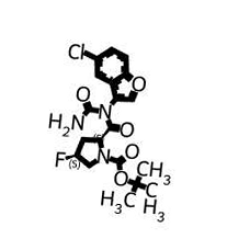 CC(C)(C)OC(=O)N1C[C@@H](F)C[C@H]1C(=O)N(C(N)=O)c1coc2ccc(Cl)cc12